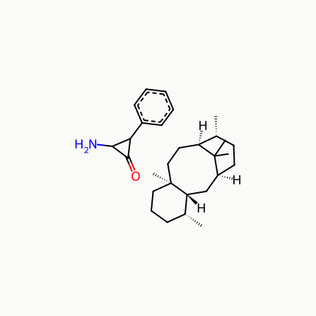 C[C@@H]1CCC[C@@]2(C)CC[C@H]3[C@H](C)CC[C@@H](C[C@H]12)C3(C)C.NC1C(=O)C1c1ccccc1